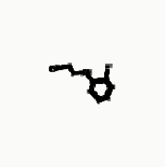 Fc1ccccc1NCCCl